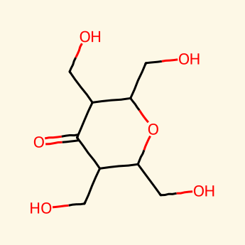 O=C1C(CO)C(CO)OC(CO)C1CO